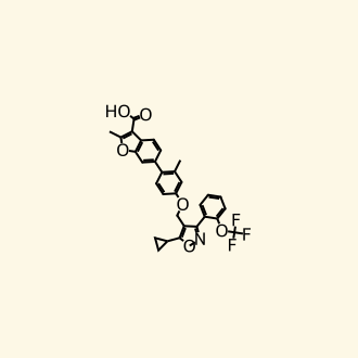 Cc1cc(OCc2c(-c3ccccc3OC(F)(F)F)noc2C2CC2)ccc1-c1ccc2c(C(=O)O)c(C)oc2c1